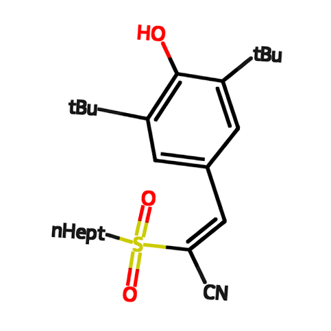 CCCCCCCS(=O)(=O)C(C#N)=Cc1cc(C(C)(C)C)c(O)c(C(C)(C)C)c1